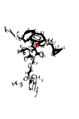 COc1ccc2c(c1)[C@]13CCN(CC4CC4)[C@H](C2)[C@]1(O)CC[C@]1(C3)C(=O)N(COCC[Si](C)(C)C)C(=O)N1CC(F)(F)F